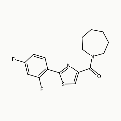 O=C(c1csc(-c2ccc(F)cc2F)n1)N1CCCCCC1